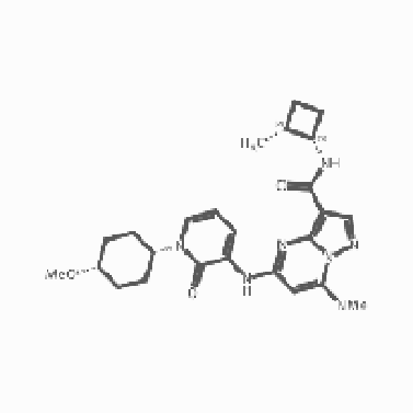 CNc1cc(Nc2cccn([C@H]3CC[C@@H](OC)CC3)c2=O)nc2c(C(=O)N[C@H]3CC[C@H]3C)cnn12